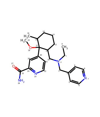 CCN(Cc1ccncc1)CC1CCCC(C)C1(OC)c1ccnc(C(N)=O)c1